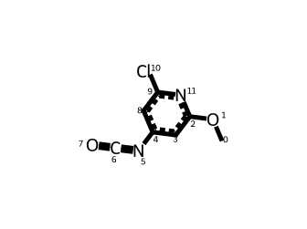 COc1cc(N=C=O)cc(Cl)n1